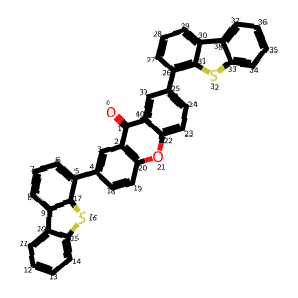 O=c1c2cc(C3=CC=CC4c5ccccc5SC34)ccc2oc2ccc(-c3cccc4c3sc3ccccc34)cc12